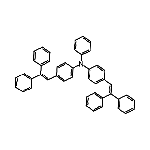 C(=C(c1ccccc1)c1ccccc1)c1ccc(N(c2ccccc2)c2ccc(C=C(c3ccccc3)c3ccccc3)cc2)cc1